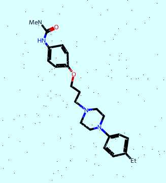 CCc1ccc(N2CCN(CCCOc3ccc(NC(=O)NC)cc3)CC2)cc1